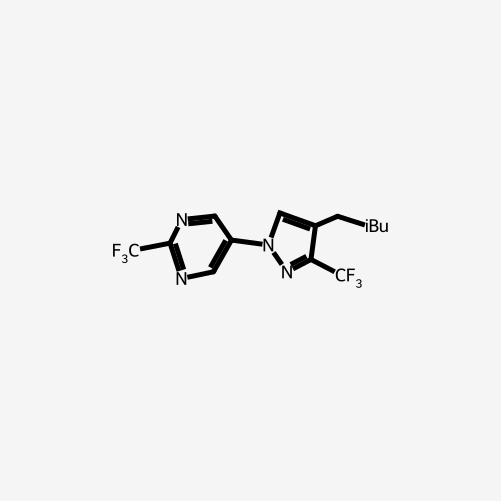 CCC(C)Cc1cn(-c2cnc(C(F)(F)F)nc2)nc1C(F)(F)F